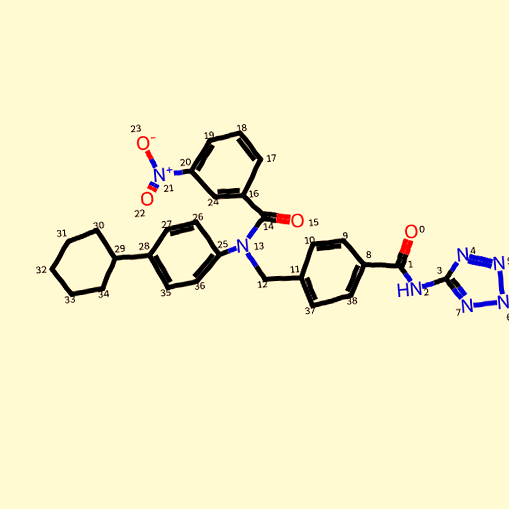 O=C(Nc1nn[nH]n1)c1ccc(CN(C(=O)c2cccc([N+](=O)[O-])c2)c2ccc(C3CCCCC3)cc2)cc1